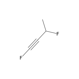 CC(F)C#CF